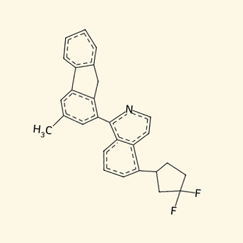 Cc1cc2c(c(-c3nccc4c(C5CCC(F)(F)C5)cccc34)c1)Cc1ccccc1-2